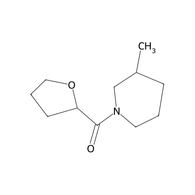 CC1CCCN(C(=O)C2CCCO2)C1